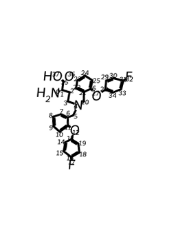 N[C@@H](CCN(Cc1ccccc1Oc1ccc(F)cc1)Cc1ccccc1Oc1ccc(F)cc1)C(=O)O